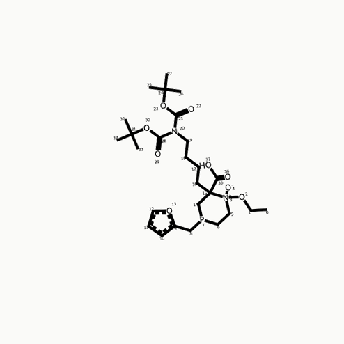 CCO[N+]1([O-])CCP(Cc2ccco2)CC1(CCCCN(C(=O)OC(C)(C)C)C(=O)OC(C)(C)C)C(=O)O